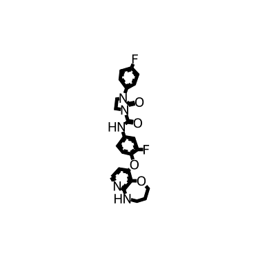 O=C(Nc1ccc(Oc2ccnc3c2OCCCN3)c(F)c1)N1CCN(c2ccc(F)cc2)C1=O